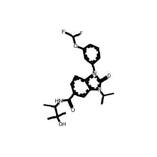 CC(C)n1c(=O)n(-c2cccc(OC(F)F)c2)c2ccc(C(=O)NC(C)C(C)(C)O)cc21